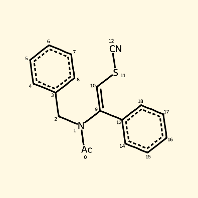 CC(=O)N(Cc1ccccc1)/C(=C/SC#N)c1ccccc1